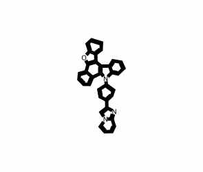 c1ccc2c(c1)oc1c3ccccc3c3c(c4ccccc4n3-c3ccc(-c4cn5ccccc5n4)cc3)c21